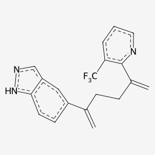 C=C(CCC(=C)c1ncccc1C(F)(F)F)c1ccc2[nH]ncc2c1